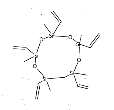 C=C[Si]1(C)C[Si](C)(C=C)O[Si](C)(C=C)O[Si](C)(C=C)O[Si](C)(C=C)O1